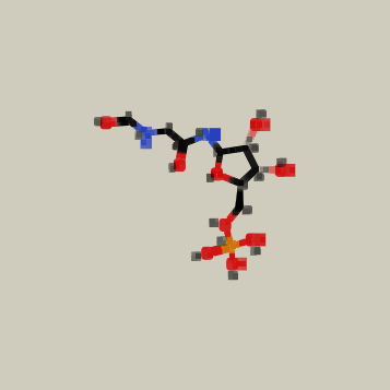 O=CNCC(=O)NC1O[C@H](COP(=O)(O)O)[C@@H](O)[C@H]1O